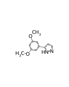 COc1cc(OC)cc(-c2ccn[nH]2)c1